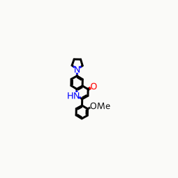 COc1ccccc1-c1cc(=O)c2cc(N3CCCC3)ccc2[nH]1